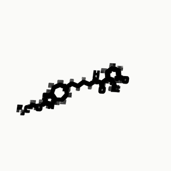 CCn1c(C(=O)NCCCCN2CCc3nc(OCC(F)(F)F)sc3CC2)cccc1=O